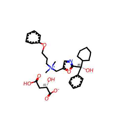 C[N+](C)(CCCOc1ccccc1)Cc1cnc([C@](O)(c2ccccc2)C2CCCCC2)o1.O=C(O)C[C@H](O)C(=O)[O-]